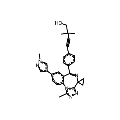 Cc1nnc2n1-c1ccc(-c3cnn(C)c3)cc1C(c1ccc(C#CC(C)(C)CO)cc1)=NC21CC1